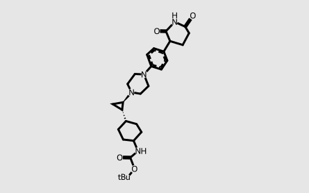 CC(C)(C)OC(=O)NC1CCC([C@@H]2C[C@H]2N2CCN(c3ccc(C4CCC(=O)NC4=O)cc3)CC2)CC1